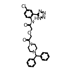 O=C(COCC(=O)N1CCN(C(c2ccccc2)c2ccccc2)CC1)[N]c1ccc(Cl)cc1-c1nnn[nH]1